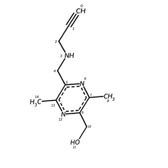 C#CCNCc1nc(C)c(CO)nc1C